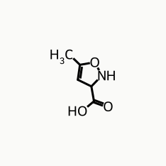 CC1=CC(C(=O)O)NO1